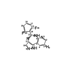 [2H]c1cnc2c(c1)-c1[nH]ncc1N=C(c1c(F)cccc1F)N2